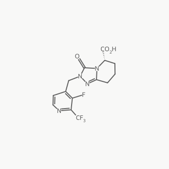 O=C(O)[C@@H]1CCCc2nn(Cc3ccnc(C(F)(F)F)c3F)c(=O)n21